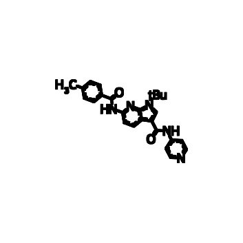 Cc1ccc(C(=O)Nc2ccc3c(C(=O)Nc4ccncc4)cn(C(C)(C)C)c3n2)cc1